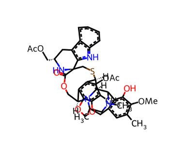 COc1c(C)cc2c(c1O)C1[C@@H]3[C@@H]4SC[C@]5(N[C@H](COC(C)=O)Cc6c5[nH]c5ccccc65)C(=O)OC[C@@H](c5c6c(c(C)c(OC(C)=O)c54)OCO6)N3C(C)(C2)CN1C